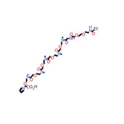 CCC(=O)NCCOCCOCC(=O)NCC(=O)N(C)CCOCC(=O)N(C)CCOCC(=O)N(C)CCOCC(=O)N(C)CCOCC(=O)N(C)CCOC(C(=O)O)n1cccc1